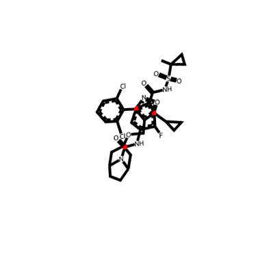 CC1(S(=O)(=O)NC(=O)c2ccc(NC(=O)N3C4CCC3CC(OCc3c(-c5c(Cl)cccc5Cl)noc3C3CC3)C4)c(F)c2)CC1